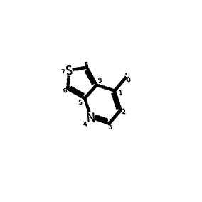 [CH2]c1ccnc2cscc12